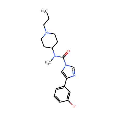 CCCN1CCC(N(C)C(=O)n2cnc(-c3cccc(Br)c3)c2)CC1